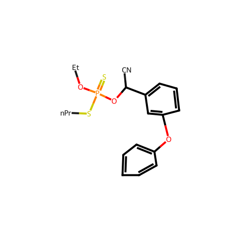 CCCSP(=S)(OCC)OC(C#N)c1cccc(Oc2ccccc2)c1